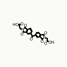 O=C(O)CN1C(=O)c2ccc(C(=O)c3ccc4c(c3)C(=O)N(CC(=O)O)C4=O)cc2C1=O